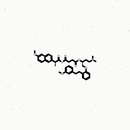 COc1cccc(CCc2ccccc2OC[C@H](CCN(C)C)OC(=O)CCC(=O)OC(=O)[C@@H](C)c2ccc3cc(OC)ccc3c2)c1